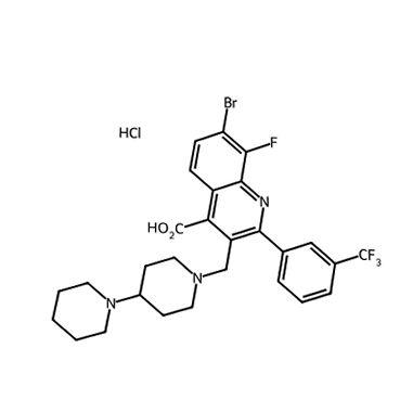 Cl.O=C(O)c1c(CN2CCC(N3CCCCC3)CC2)c(-c2cccc(C(F)(F)F)c2)nc2c(F)c(Br)ccc12